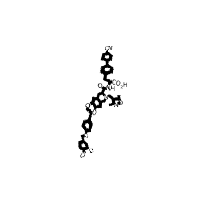 Cc1noc(C)c1CN1Cc2cc3c(cc2CC1C(=O)NC(Cc1ccc(-c2ccc(C#N)cc2)cc1)C(=O)O)OCC(c1ccc(OCc2ccc(Cl)c(Cl)c2)cc1)O3